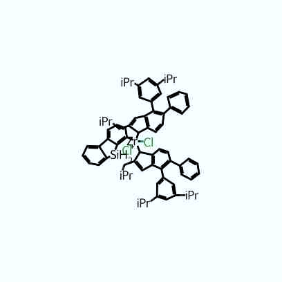 CC(C)CC1=Cc2c(ccc(-c3ccccc3)c2-c2cc(C(C)C)cc(C(C)C)c2)[CH]1[Zr]([Cl])([Cl])([c]1cccc2c1[SiH2]c1ccccc1-2)[CH]1C(CC(C)C)=Cc2c1ccc(-c1ccccc1)c2-c1cc(C(C)C)cc(C(C)C)c1